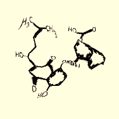 CC(C)=CC[C@@H](O)C1=CC(=O)c2c(O)ccc(O)c2C1=O.O=C(O)n1cc(O)c2ccccc21